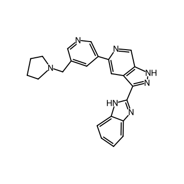 c1ccc2[nH]c(-c3n[nH]c4cnc(-c5cncc(CN6CCCC6)c5)cc34)nc2c1